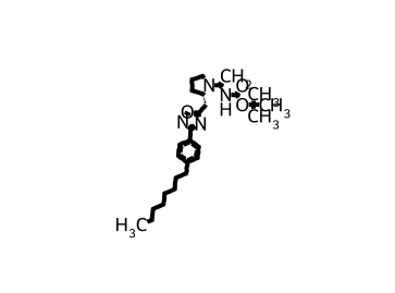 C=C(NC(=O)OC(C)(C)C)N1CCC[C@H]1Cc1nc(-c2ccc(CCCCCCCC)cc2)no1